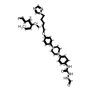 C\C=C/C(OC[C@H](CCCn1cncn1)COc1ccc(N2CCN(c3ccc(NC(=O)NNC=O)cc3)CC2)cc1)=C(F)\C=C\F